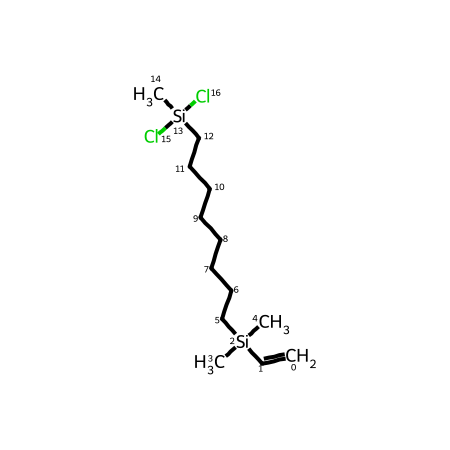 C=C[Si](C)(C)CCCCCCCC[Si](C)(Cl)Cl